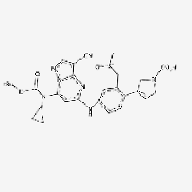 C[S+]([O-])Cc1cc(Nc2cc(N(C(=O)OC(C)(C)C)C3CC3)n3ncc(C#N)c3n2)ccc1C1=CCN(C(=O)O)C1